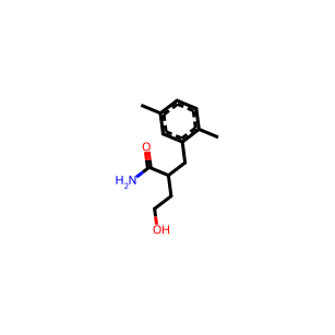 Cc1ccc(C)c(CC(CCO)C(N)=O)c1